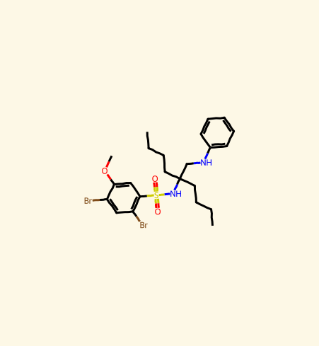 CCCCC(CCCC)(CNc1ccccc1)NS(=O)(=O)c1cc(OC)c(Br)cc1Br